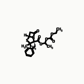 CCOC(=O)OC(C)OC(=O)[C@]1(Cc2ccccc2)N2C(=O)C[C@H]2SC1(C)C